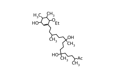 CCOC1C(CCC(C)CCCC(C)(O)CCCC(C)(O)CCCC(C)C(C)=O)=CC(O)C(C)C1C